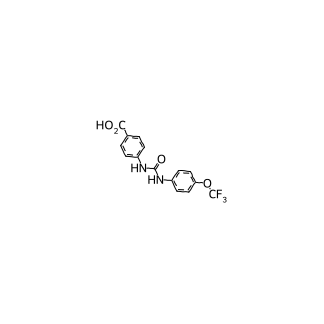 O=C(Nc1ccc(OC(F)(F)F)cc1)Nc1ccc(C(=O)O)cc1